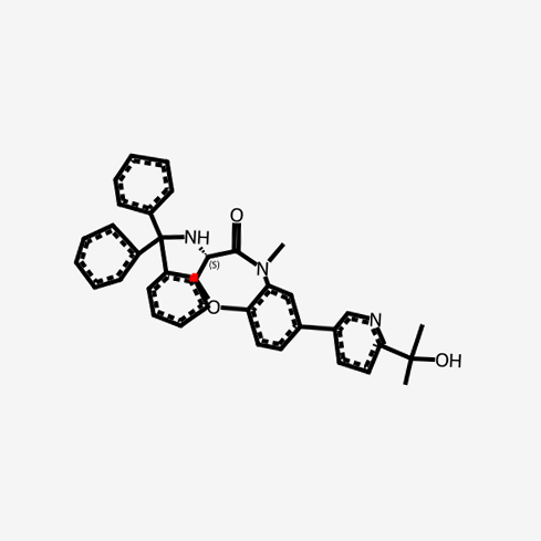 CN1C(=O)[C@@H](NC(c2ccccc2)(c2ccccc2)c2ccccc2)COc2ccc(-c3ccc(C(C)(C)O)nc3)cc21